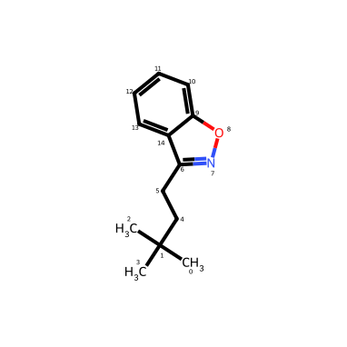 CC(C)(C)CCc1noc2ccccc12